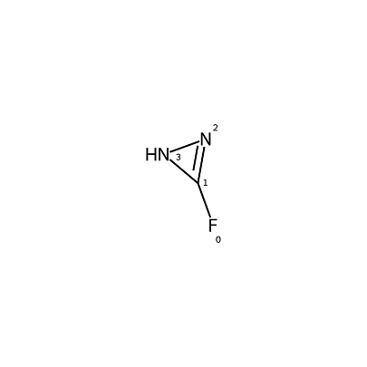 FC1=NN1